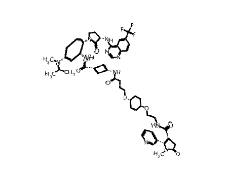 CC(C)N(C)[C@@H]1CC[C@H](N2CC[C@H](Nc3ncnc4ccc(C(F)(F)F)cc34)C2=O)[C@H](NC(=O)[C@H]2C[C@@H](NC(=O)CCCO[C@H]3CC[C@H](OCCNC(=O)[C@H]4CC(=O)N(C)[C@@H]4c4cccnc4)CC3)C2)C1